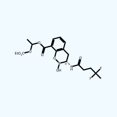 CCOC(=O)OC(C)OC(=O)c1cccc2c1OB(O)[C@@H](NC(=O)CCC(C)(F)F)C2